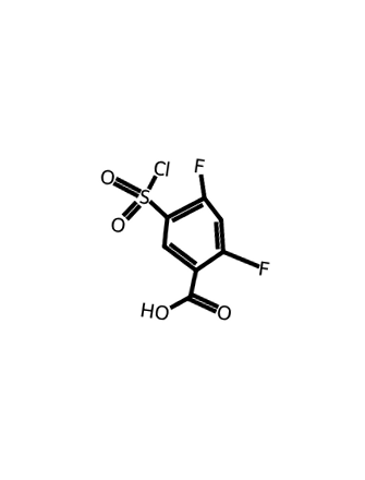 O=C(O)c1cc(S(=O)(=O)Cl)c(F)cc1F